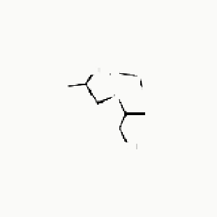 CC(O)COC(C)CO.CCCOCC